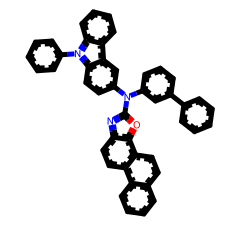 c1ccc(-c2cccc(N(c3ccc4c(c3)c3ccccc3n4-c3ccccc3)c3nc4ccc5c6ccccc6ccc5c4o3)c2)cc1